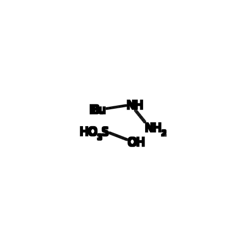 CCC(C)NN.O=S(=O)(O)O